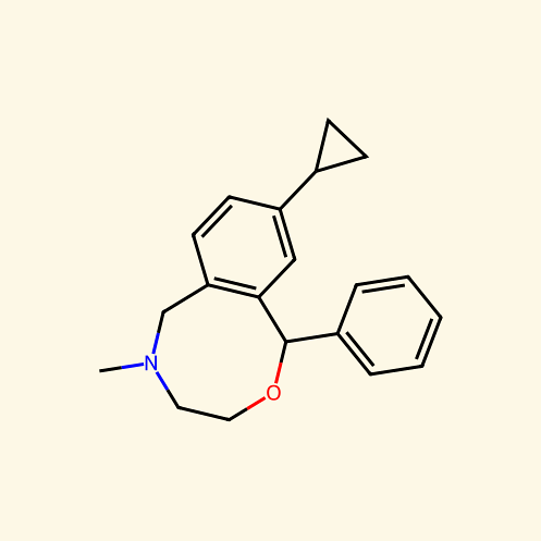 CN1CCOC(c2ccccc2)c2cc(C3CC3)ccc2C1